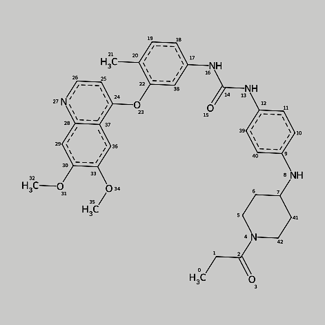 CCC(=O)N1CCC(Nc2ccc(NC(=O)Nc3ccc(C)c(Oc4ccnc5cc(OC)c(OC)cc45)c3)cc2)CC1